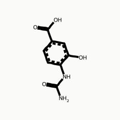 NC(=O)Nc1ccc(C(=O)O)cc1O